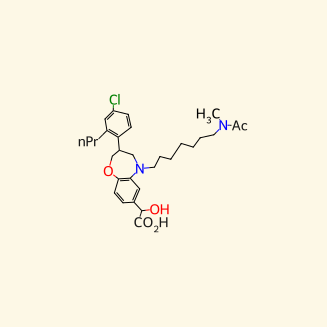 CCCc1cc(Cl)ccc1C1COc2ccc(C(O)C(=O)O)cc2N(CCCCCCCN(C)C(C)=O)C1